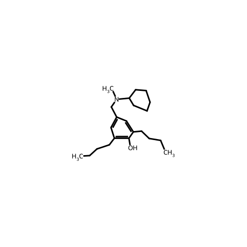 CCCCc1cc(CN(C)C2CCCCC2)cc(CCCC)c1O